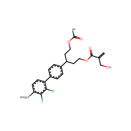 C=C(CO)C(=O)OCCC(CCOC(=O)C(C)C)c1ccc(-c2ccc(CCCCCCC)c(F)c2F)cc1